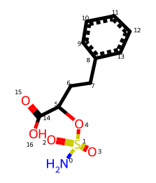 NS(=O)(=O)OC(CCc1ccccc1)C(=O)O